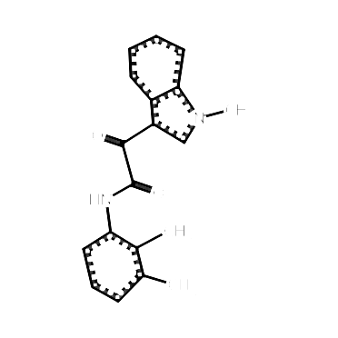 Cc1cccc(NC(=O)C(=O)c2cn(C)c3ccccc23)c1C